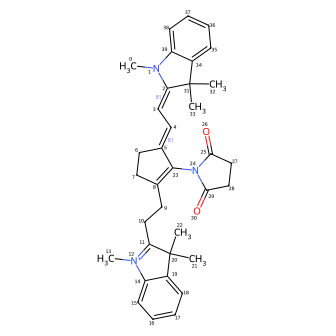 CN1/C(=C/C=C2\CCC(CCC3=[N+](C)c4ccccc4C3(C)C)=C2N2C(=O)CCC2=O)C(C)(C)c2ccccc21